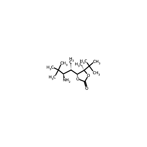 C[C@@H]([C@@H](N)C(C)(C)C)[C@H]1OC(=O)O[C@]1(C)C(C)(C)C